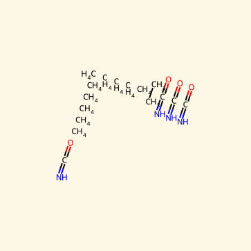 C.C.C.C.C.C.C.C.C.C.CC.N=C=O.N=C=O.N=C=O.N=C=O